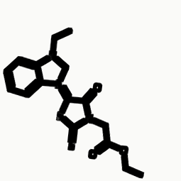 CCOC(=O)CN1C(=O)C(=S2CN(CC)c3ccccc32)SC1=S